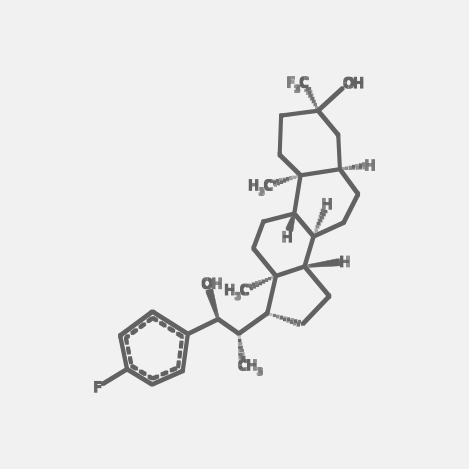 C[C@H]([C@H](O)c1ccc(F)cc1)[C@H]1CC[C@H]2[C@@H]3CC[C@@H]4C[C@@](O)(C(F)(F)F)CC[C@]4(C)[C@H]3CC[C@]12C